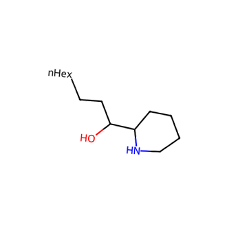 CCCCCCCCC(O)C1CCCCN1